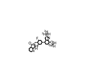 [2H]C([2H])([2H])Oc1ccc(-c2cc(F)c(CN3C(=O)c4cccnc4C3([2H])[2H])c(F)c2)c2cn(C([2H])([2H])[2H])nc12